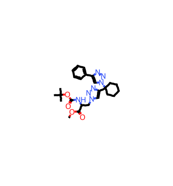 COC(=O)C(Cn1cc(C2(n3cc(-c4ccccc4)nn3)CCCCC2)nn1)NC(=O)OC(C)(C)C